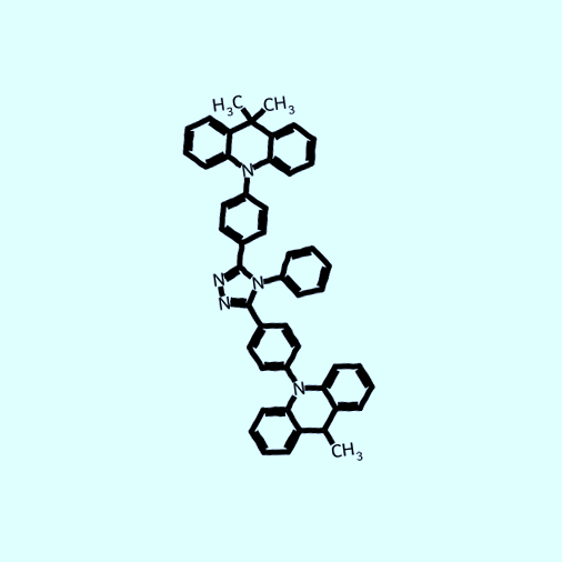 CC1c2ccccc2N(c2ccc(-c3nnc(-c4ccc(N5c6ccccc6C(C)(C)c6ccccc65)cc4)n3-c3ccccc3)cc2)c2ccccc21